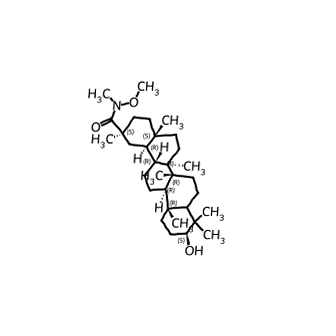 CON(C)C(=O)[C@@]1(C)CC[C@]2(C)CC[C@]3(C)[C@H](CC[C@@H]4[C@@]5(C)CC[C@H](O)C(C)(C)C5CC[C@]43C)[C@H]2C1